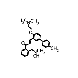 Cc1ccc(-c2ccc(OCCN(C)C)c(C=CC(=O)c3ccccc3CN(C)C)c2)cc1